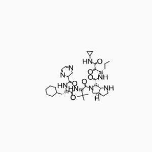 CCC[C@H](NC(=O)[C@@H]1C2NCC[C@H]2CN1C(=O)[C@@H](NC(=O)[C@H](CC1CCCCC1)NC(=O)C1CN=CC=N1)C(C)(C)C)C(=O)C(=O)NC1CC1